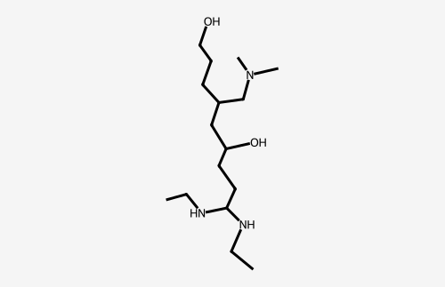 CCNC(CCC(O)CC(CCCO)CN(C)C)NCC